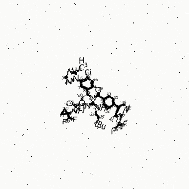 Cc1ncnn1-c1cc([C@@H](COC(=O)NC2(C(F)F)CC2)N(C(=N)NCCC(C)(C)C)C(=O)c2ccc(-c3cnn(C(F)F)c3)cc2)ccc1Cl